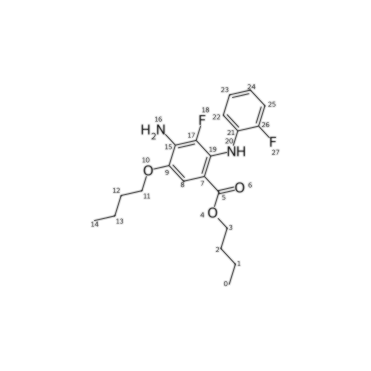 CCCCOC(=O)c1cc(OCCCC)c(N)c(F)c1Nc1ccccc1F